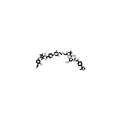 Cc1ncsc1-c1ccc([C@H](C)NC(=O)[C@@H]2C[C@@H](O)CN2[C@@H](O)[C@@H](NC(=O)COCCN2[C@H](C)CN(c3ccc(C(=O)NC4C(C)(C)C(Oc5ccc(C#N)c(Cl)c5)C4(C)C)cn3)C[C@@H]2C)C(C)(C)C)cc1